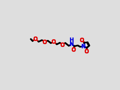 CCOCCOCCOCCOCCNC(=O)CCN1C(=O)C=CC1=O